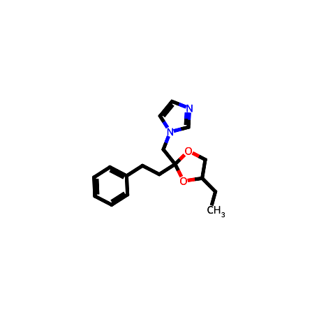 CCC1COC(CCc2ccccc2)(Cn2ccnc2)O1